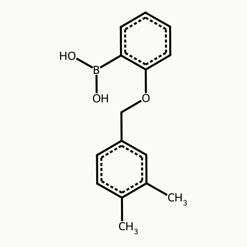 Cc1ccc(COc2ccccc2B(O)O)cc1C